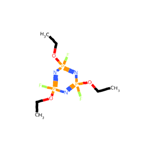 CCOP1(F)=NP(F)(OCC)=NP(F)(OCC)=N1